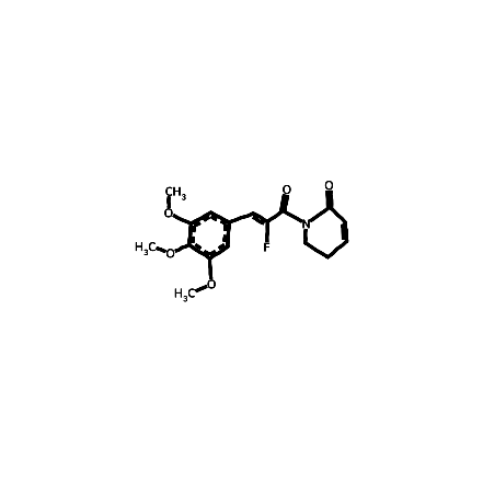 COc1cc(/C=C(\F)C(=O)N2CCC=CC2=O)cc(OC)c1OC